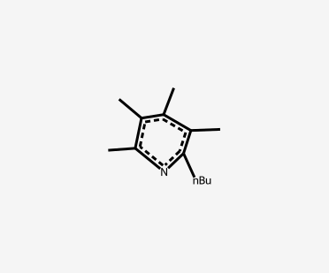 CCCCc1nc(C)c(C)c(C)c1C